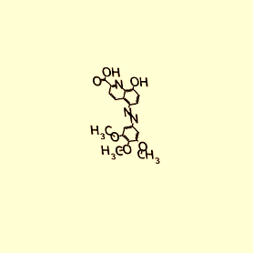 COc1cc(N=Nc2ccc(O)c3nc(C(=O)O)ccc23)cc(OC)c1OC